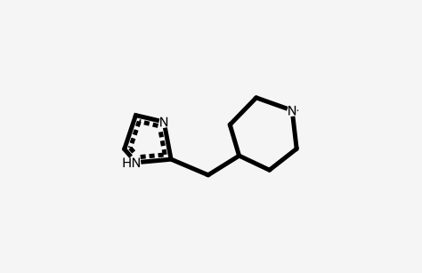 c1c[nH]c(CC2CC[N]CC2)n1